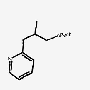 C[CH]CCCCC(C)Cc1ccccn1